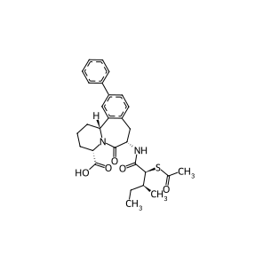 CC[C@H](C)[C@H](SC(C)=O)C(=O)N[C@H]1Cc2ccc(-c3ccccc3)cc2[C@H]2CCC[C@@H](C(=O)O)N2C1=O